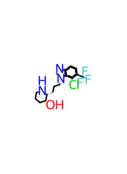 O[C@H]1CCCN[C@@H]1CCCn1cnc2ccc(C(F)(F)F)c(Cl)c21